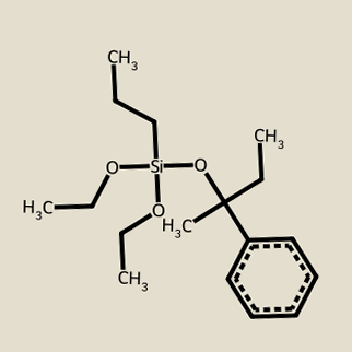 CCC[Si](OCC)(OCC)OC(C)(CC)c1ccccc1